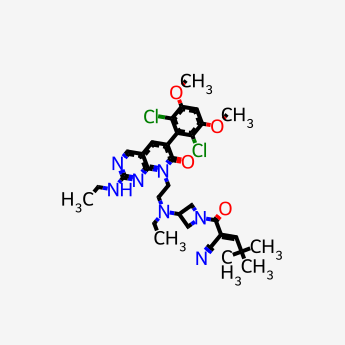 CCNc1ncc2cc(-c3c(Cl)c(OC)cc(OC)c3Cl)c(=O)n(CCN(CC)C3CN(C(=O)C(C#N)=CC(C)(C)C)C3)c2n1